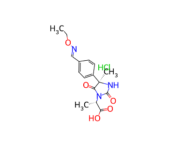 CCON=Cc1ccc([C@@]2(C)NC(=O)N([C@@H](C)C(=O)O)C2=O)cc1.Cl